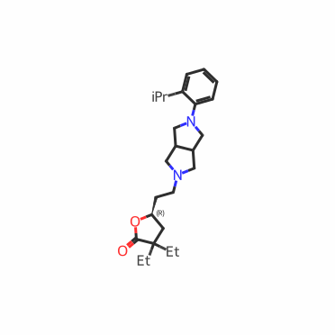 CCC1(CC)C[C@H](CCN2CC3CN(c4ccccc4C(C)C)CC3C2)OC1=O